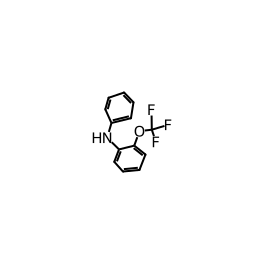 FC(F)(F)Oc1ccccc1Nc1ccccc1